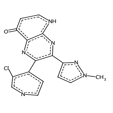 Cn1ccc(-c2nc3[nH]ccc(=O)c3nc2-c2ccncc2Cl)n1